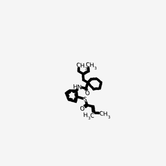 CCC(CC)CC1(C(=O)Nc2ccccc2SC(=O)C=C(C)C)CCCCC1